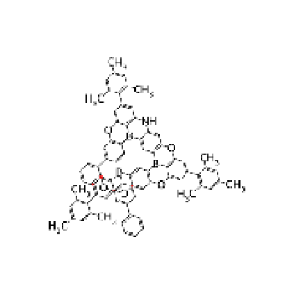 Cc1cc(C)c(-c2cc3c4c(c2)Oc2cc(-c5ccccc5)ccc2B4c2cc4c(cc2N3)Oc2cc(-c3c(C)cc(C)cc3C)cc3c2B4c2cc4c(cc2O3)Oc2cc(-c3c(C)cc(C)cc3C)cc3c2B4c2ccc(-c4ccccc4)cc2O3)c(C)c1